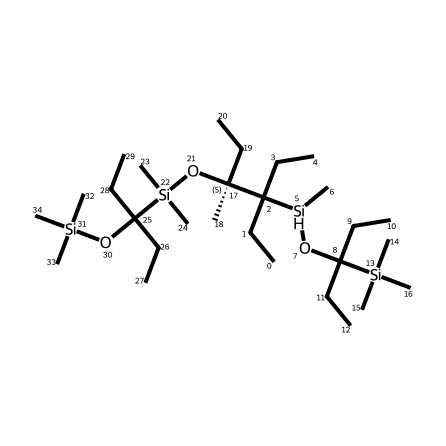 CCC(CC)([SiH](C)OC(CC)(CC)[Si](C)(C)C)[C@](C)(CC)O[Si](C)(C)C(CC)(CC)O[Si](C)(C)C